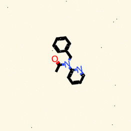 CC(=O)N(Cc1ccccc1)c1ccccn1